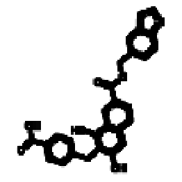 O=C(O)c1ccc(Cc2c(O)cc3ccc(C(=O)OCc4ccc5sccc5c4)cc3c2O)cc1